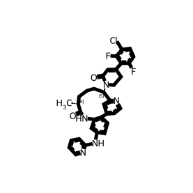 C[C@@H]1CCC[C@H](N2CCC(c3c(F)ccc(Cl)c3F)=CC2=O)c2cc(ccn2)-c2ccc(Nc3ccccn3)cc2NC1=O